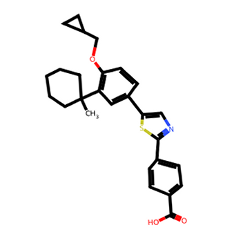 CC1(c2cc(-c3cnc(-c4ccc(C(=O)O)cc4)s3)ccc2OCC2CC2)CCCCC1